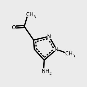 CC(=O)c1cc(N)n(C)n1